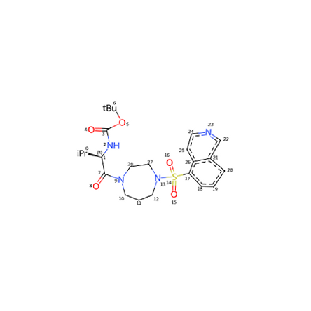 CC(C)[C@@H](NC(=O)OC(C)(C)C)C(=O)N1CCCN(S(=O)(=O)c2cccc3cnccc23)CC1